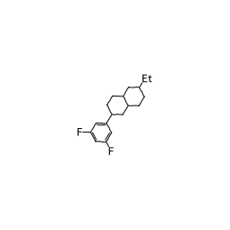 CCC1CCC2CC(c3cc(F)cc(F)c3)CCC2C1